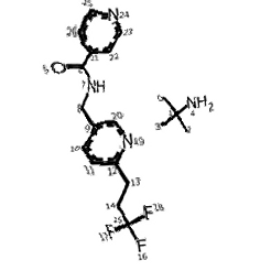 CC(C)(C)N.O=C(NCc1ccc(CCC(F)(F)F)nc1)c1ccncc1